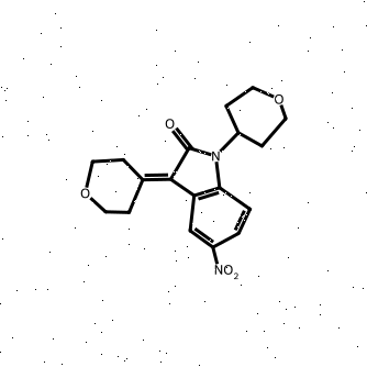 O=C1C(=C2CCOCC2)c2cc([N+](=O)[O-])ccc2N1C1CCOCC1